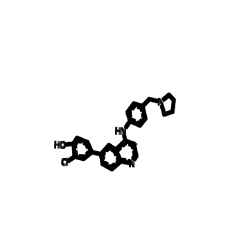 Oc1ccc(-c2ccc3nc[c]c(Nc4ccc(CN5CCCC5)cc4)c3c2)cc1Cl